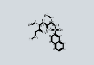 CCOCC(=O)[C@H](CC(C)C)NC(=O)[C@H](CC(C)C)NS(=O)(=O)c1ccc2ccccc2c1